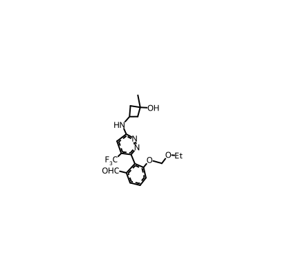 CCOCOc1cccc(C=O)c1-c1nnc(NC2CC(C)(O)C2)cc1C(F)(F)F